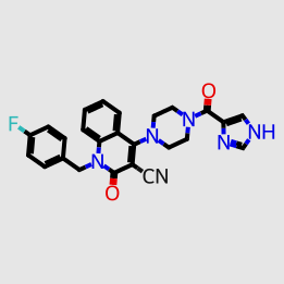 N#Cc1c(N2CCN(C(=O)c3c[nH]cn3)CC2)c2ccccc2n(Cc2ccc(F)cc2)c1=O